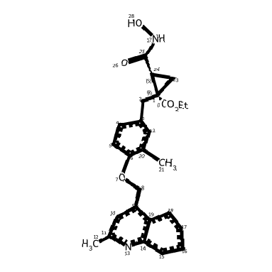 CCOC(=O)[C@@]1(Cc2ccc(OCc3cc(C)nc4ccccc34)c(C)c2)C[C@@H]1C(=O)NO